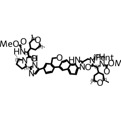 CCC[C@H](C)N(Cc1nc2ccc3cc4c(cc3c2[nH]1)OCc1cc(-c2cnc([C@@H]3CC[C@H](C)N3C(=O)[C@@H](NC(=O)OC)C3C[C@@H](C)O[C@H](C)C3)[nH]2)ccc1-4)C(=O)[C@@H](NC(=O)OC)C1C[C@@H](C)O[C@H](C)C1